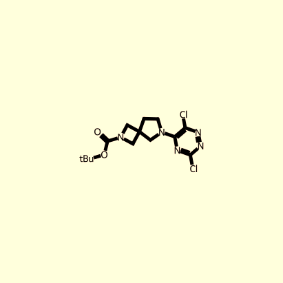 CC(C)(C)OC(=O)N1CC2(CCN(c3nc(Cl)nnc3Cl)C2)C1